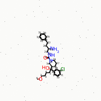 COCCCC[C@@](O)(c1cccc(Cl)c1)[C@@H]1CCCN(C(=O)NC[C@H](N)CCc2ccccc2)C1